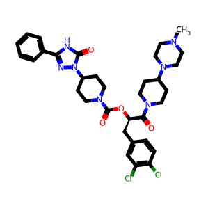 CN1CCN(C2CCN(C(=O)[C@@H](Cc3ccc(Cl)c(Cl)c3)OC(=O)N3CCC(n4nc(-c5ccccc5)[nH]c4=O)CC3)CC2)CC1